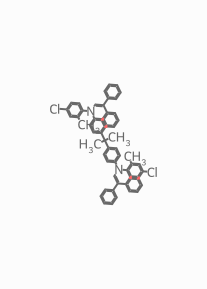 Cc1cc(Cl)ccc1N(C=C(c1ccccc1)c1ccccc1)c1ccc(C(C)(C)c2ccc(N(C=C(c3ccccc3)c3ccccc3)c3ccc(Cl)cc3C)cc2)cc1